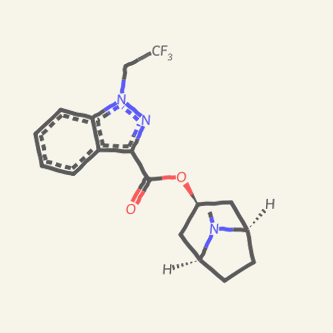 CN1[C@@H]2CC[C@H]1C[C@@H](OC(=O)c1nn(CC(F)(F)F)c3ccccc13)C2